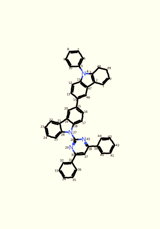 C1=Cc2c(n(-c3ccccc3)c3ccc(-c4ccc5c(c4)c4ccccc4n5-c4nc(-c5ccccc5)cc(-c5ccccc5)n4)cc23)CC1